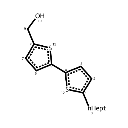 CCCCCCCc1ccc(-c2ccc(CO)s2)s1